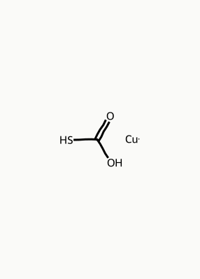 O=C(O)S.[Cu]